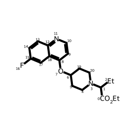 CCOC(=O)C(CC)N1CCC(Oc2ccnc3ccc(F)cc23)CC1